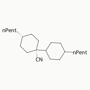 CCCCCC1CCC([C@]2(C#N)CC[C@@H](CCCCC)CC2)CC1